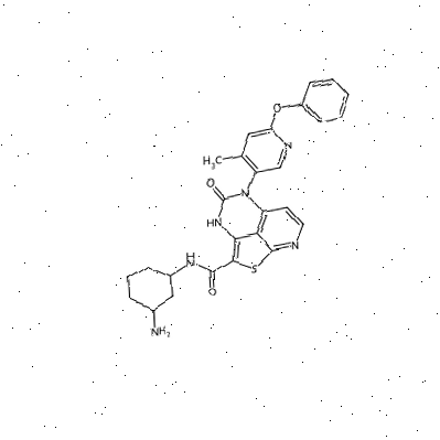 Cc1cc(Oc2ccccc2)ncc1N1C(=O)Nc2c(C(=O)NC3CCCC(N)C3)sc3nccc1c23